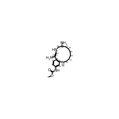 COC(=O)Nc1ccc2c(c1)NCCCCCC[C@H](N)CN/C=C/2N